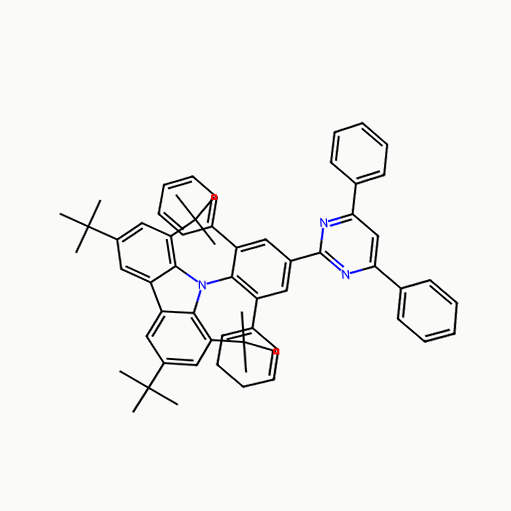 CC(C)(C)c1cc(C(C)(C)C)c2c(c1)c1cc(C(C)(C)C)cc(C(C)(C)C)c1n2-c1c(C2=CCCC=C2)cc(-c2nc(-c3ccccc3)cc(-c3ccccc3)n2)cc1-c1ccccc1